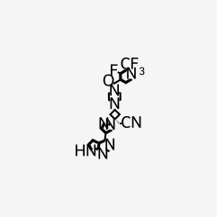 N#CC[C@]1(n2cc(-c3ncnc4[nH]ccc34)cn2)C[C@H](N2CCN(C(=O)c3ccnc(C(F)(F)F)c3F)CC2)C1